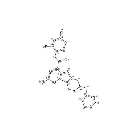 NC(=O)Oc1c(NC(=O)Cc2ccc(Cl)cc2F)sc2c1CCN(Cc1ccccn1)C2